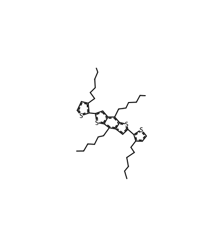 CCCCCCc1ccsc1-c1cc2c(CCCCCC)c3sc(-c4sccc4CCCCCC)cc3c(CCCCCC)c2s1